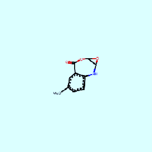 COc1ccc2c(c1)C(=O)OC1OC1N2